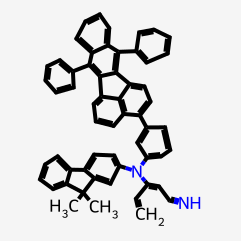 C=C/C(=C\C=N)N(c1cccc(-c2ccc3c4c(cccc24)-c2c-3c(-c3ccccc3)c3ccccc3c2-c2ccccc2)c1)c1ccc2c(c1)C(C)(C)c1ccccc1-2